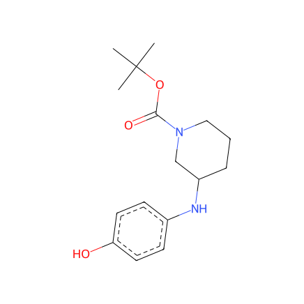 CC(C)(C)OC(=O)N1CCCC(Nc2ccc(O)cc2)C1